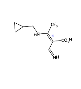 N=C/C(C(=O)O)=C(\NCC1CC1)C(F)(F)F